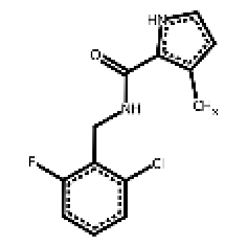 Cc1cc[nH]c1C(=O)NCc1c(F)cccc1Cl